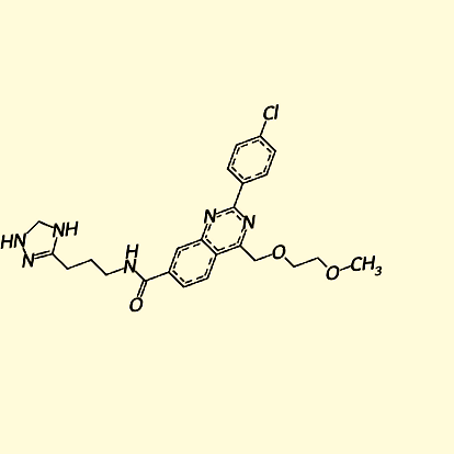 COCCOCc1nc(-c2ccc(Cl)cc2)nc2cc(C(=O)NCCCC3=NNCN3)ccc12